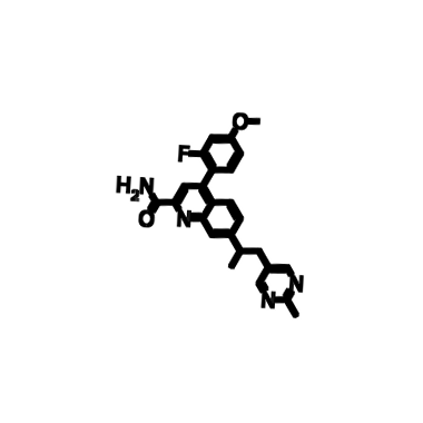 COc1ccc(-c2cc(C(N)=O)nc3cc(C(C)Cc4cnc(C)nc4)ccc23)c(F)c1